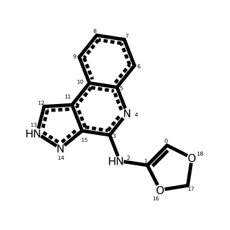 C1=C(Nc2nc3ccccc3c3c[nH]nc23)OCO1